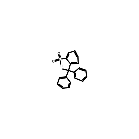 CC(c1ccccc1)(c1ccccc1)c1ccccc1S(=O)(=O)Cl